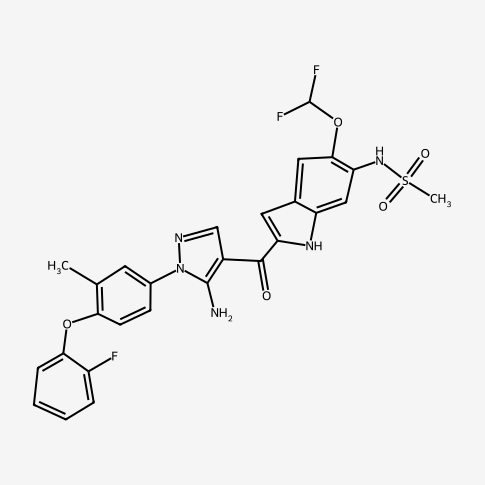 Cc1cc(-n2ncc(C(=O)c3cc4cc(OC(F)F)c(NS(C)(=O)=O)cc4[nH]3)c2N)ccc1Oc1ccccc1F